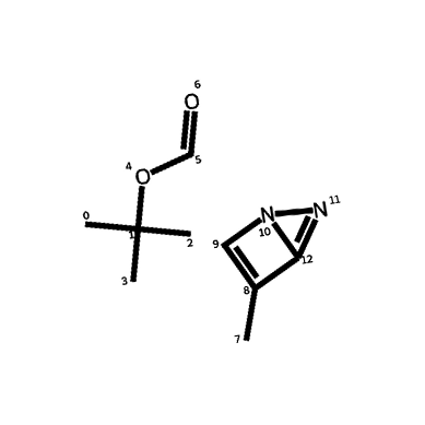 CC(C)(C)OC=O.Cc1cn2nc1-2